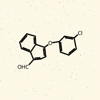 O=Cc1ccc(Oc2cccc(Cl)c2)c2ccccc12